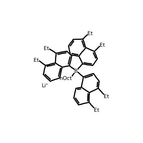 CCCCCCCC[B-](c1ccc(CC)c2c(CC)cccc12)(c1ccc(CC)c2c(CC)cccc12)c1ccc(CC)c2c(CC)cccc12.[Li+]